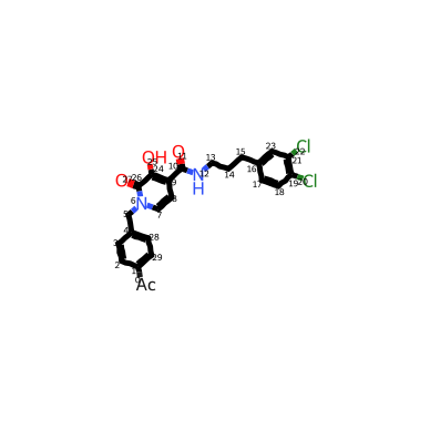 CC(=O)c1ccc(Cn2ccc(C(=O)NCCCc3ccc(Cl)c(Cl)c3)c(O)c2=O)cc1